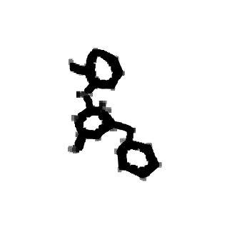 Cc1ccccc1Nc1nc(=O)cc(Cc2ccccc2)[nH]1